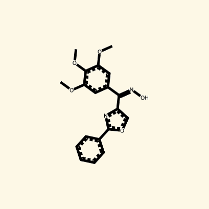 COc1cc(C(=NO)c2coc(-c3ccccc3)n2)cc(OC)c1OC